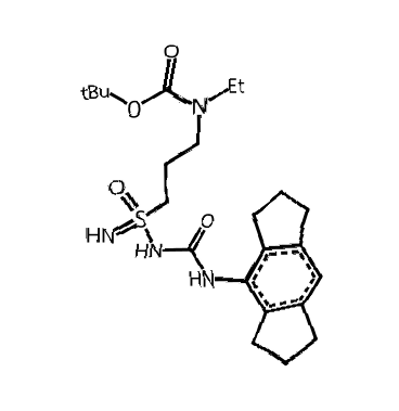 CCN(CCCS(=N)(=O)NC(=O)Nc1c2c(cc3c1CCC3)CCC2)C(=O)OC(C)(C)C